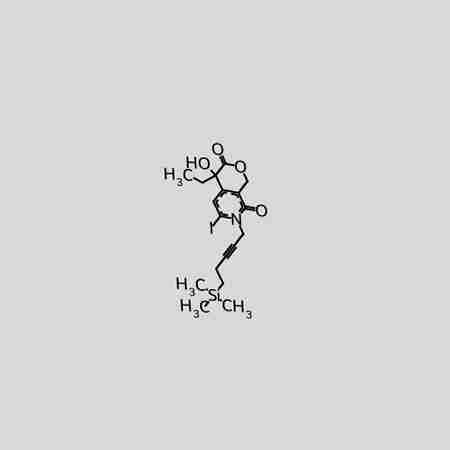 CCC1(O)C(=O)OCc2c1cc(I)n(CC#CCC[Si](C)(C)C)c2=O